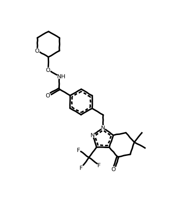 CC1(C)CC(=O)c2c(C(F)(F)F)nn(Cc3ccc(C(=O)NOC4CCCCO4)cc3)c2C1